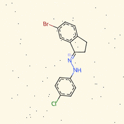 Clc1ccc(N/N=C2\CCc3ccc(Br)cc32)cc1